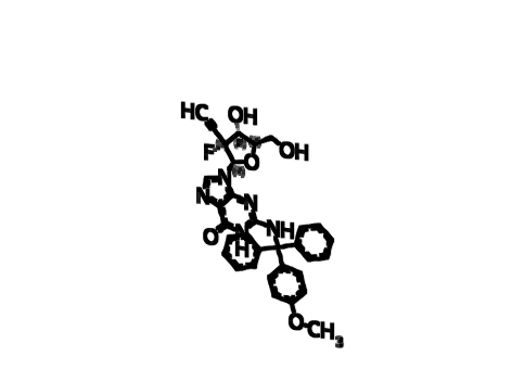 C#C[C@@]1(F)[C@H](O)[C@@H](CO)O[C@H]1n1cnc2c(=O)[nH]c(NC(c3ccccc3)(c3ccccc3)c3ccc(OC)cc3)nc21